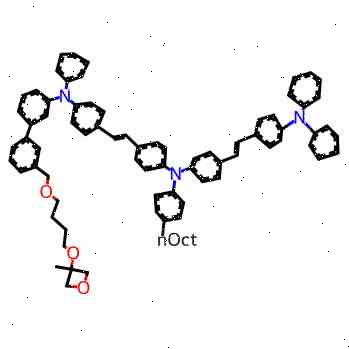 CCCCCCCCc1ccc(N(c2ccc(/C=C/c3ccc(N(c4ccccc4)c4ccccc4)cc3)cc2)c2ccc(/C=C/c3ccc(N(c4ccccc4)c4cccc(-c5cccc(COCCCCOC6(C)COC6)c5)c4)cc3)cc2)cc1